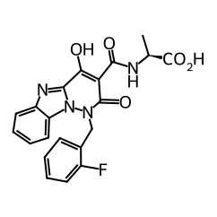 C[C@H](NC(=O)c1c(O)c2nc3ccccc3n2n(Cc2ccccc2F)c1=O)C(=O)O